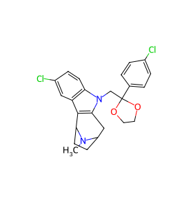 CN1C2CCC1c1c(n(CC3(c4ccc(Cl)cc4)OCCO3)c3ccc(Cl)cc13)C2